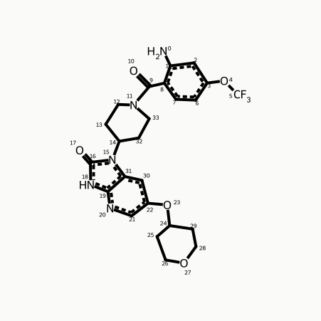 Nc1cc(OC(F)(F)F)ccc1C(=O)N1CCC(n2c(=O)[nH]c3ncc(OC4CCOCC4)cc32)CC1